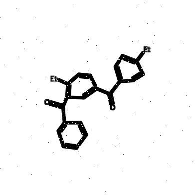 CCc1ccc(C(=O)c2ccc(CC)c(C(=O)c3ccccc3)c2)cc1